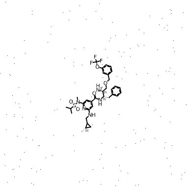 CC(C)S(=O)(=O)N(C)c1cc(C(=O)N[C@@H](Cc2ccccc2)[C@@H](N)COCc2cccc(OC(F)(F)F)c2)cc(NCC2C[C@@H]2C)n1